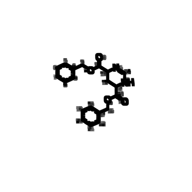 O=C(OCc1ccccc1)C1CC(C(=O)OCc2ccccc2)NC=N1